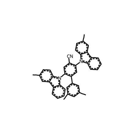 Cc1cc(C)cc(-c2cc(-n3c4ccccc4c4cc(C)ccc43)c(C#N)cc2-n2c3ccccc3c3cc(C)ccc32)c1